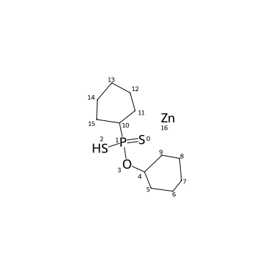 S=P(S)(OC1CCCCC1)C1CCCCC1.[Zn]